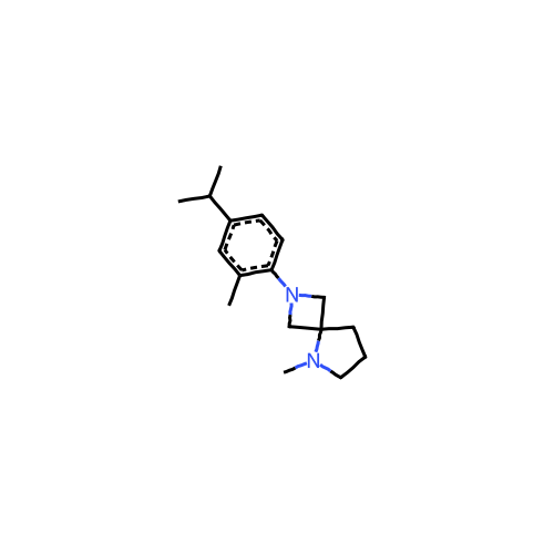 Cc1cc(C(C)C)ccc1N1CC2(CCCN2C)C1